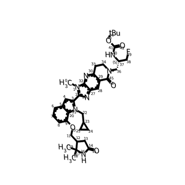 Cn1c(-c2cc3cccc(OCC4CC(=O)NC4(C)C)c3n2CC2CC2)nc2cc3c(nc21)CCN(C[C@@H](CF)NC(=O)OC(C)(C)C)C3=O